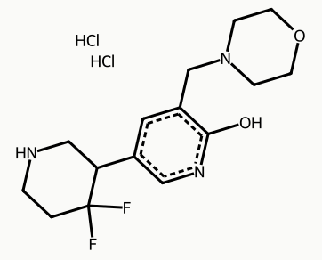 Cl.Cl.Oc1ncc(C2CNCCC2(F)F)cc1CN1CCOCC1